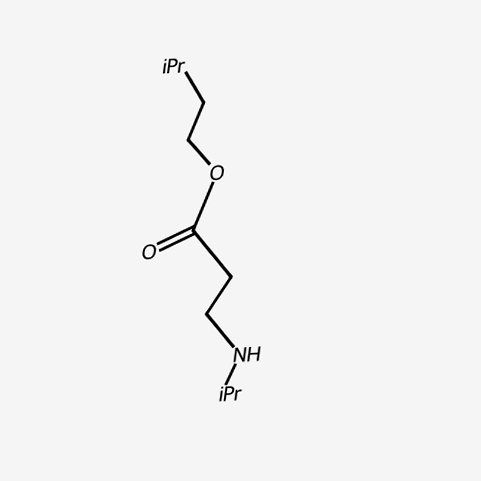 CC(C)CCOC(=O)CCNC(C)C